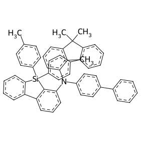 Cc1ccc([Si]2(c3ccc(C)cc3)c3ccccc3-c3cccc(N(c4ccc(-c5ccccc5)cc4)c4cccc5c4-c4ccccc4C5(C)C)c32)cc1